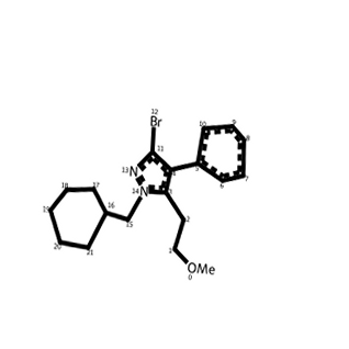 COCCc1c(-c2ccccc2)c(Br)nn1CC1CC[CH]CC1